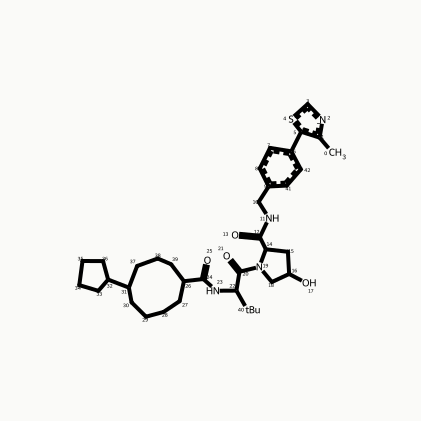 Cc1ncsc1-c1ccc(CNC(=O)C2CC(O)CN2C(=O)C(NC(=O)C2CCCCC(C3CCCC3)CCC2)C(C)(C)C)cc1